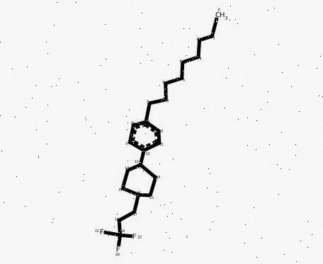 CCCCCCCCCc1ccc(C2CCC(CCC(F)(F)F)CC2)cc1